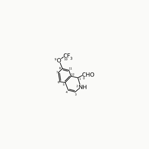 O=CC1NC=Cc2ccc(OC(F)(F)F)cc21